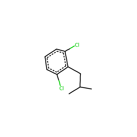 CC(C)Cc1c(Cl)cccc1Cl